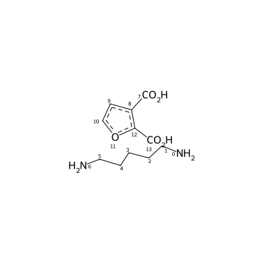 NCCCCCN.O=C(O)c1ccoc1C(=O)O